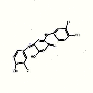 O=C1C=C(O)/C(=N\c2ccc(O)c(Cl)c2)C=C1Nc1ccc(O)c(Cl)c1